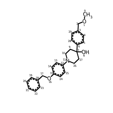 COCc1ccc(C2(O)CCN(c3ccc(OCc4ccccc4)cc3)CC2)cc1